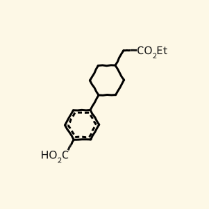 CCOC(=O)CC1CCC(c2ccc(C(=O)O)cc2)CC1